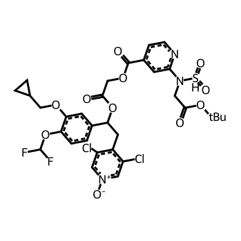 CC(C)(C)OC(=O)CN(c1cc(C(=O)OCC(=O)OC(Cc2c(Cl)c[n+]([O-])cc2Cl)c2ccc(OC(F)F)c(OCC3CC3)c2)ccn1)[SH](=O)=O